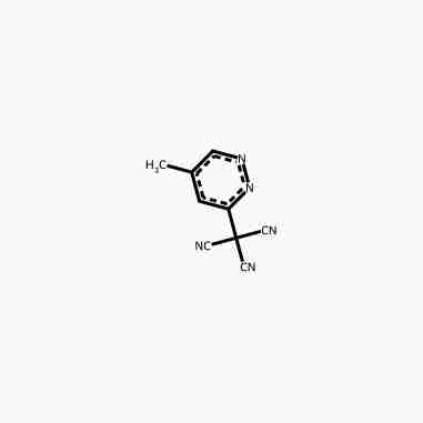 Cc1cnnc(C(C#N)(C#N)C#N)c1